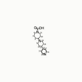 O=C(O)N1CCCC(N2CCC(c3ccncc3)CC2)CC1